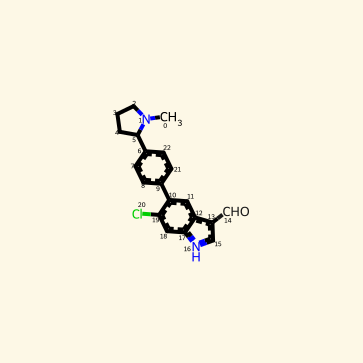 CN1CCCC1c1ccc(-c2cc3c(C=O)c[nH]c3cc2Cl)cc1